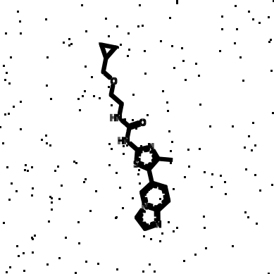 Cc1nc(NC(=O)NCCOCC2CC2)sc1-c1ccc2nccn2c1